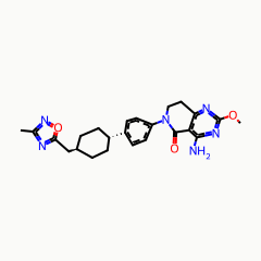 COc1nc(N)c2c(n1)CCN(c1ccc([C@H]3CC[C@H](Cc4nc(C)no4)CC3)cc1)C2=O